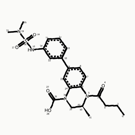 CCCC(=O)N1c2ccc(-c3cccc(NS(=O)(=O)N(C)C)c3)cc2N(C(=O)O)C[C@@H]1C